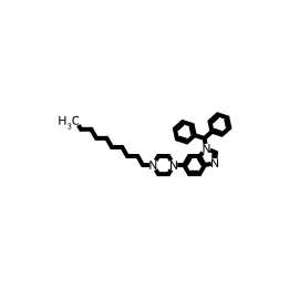 CCCCCCCCCCN1CCN(c2ccc3ncn(C(c4ccccc4)c4ccccc4)c3c2)CC1